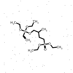 C=C[Si](OCC)(OCC)OCC(C)CCP(=O)(OCC)OCC